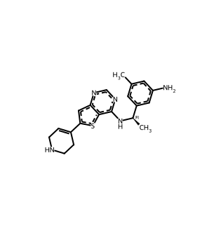 Cc1cc(N)cc([C@@H](C)Nc2ncnc3cc(C4=CCNCC4)sc23)c1